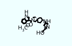 COc1cccc2[nH]cc(C(=O)N3CC[C@]4(CC[C@H](Nc5cnn(CCO)c5)CC4)C3)c12